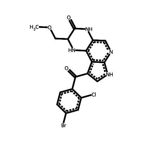 COCC1Nc2c(cnc3[nH]cc(C(=O)c4ccc(Br)cc4Cl)c23)NC1=O